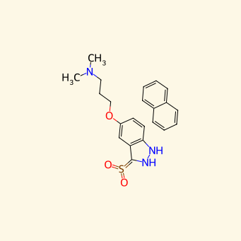 CN(C)CCCOc1ccc2[nH][nH]c(=S(=O)=O)c2c1.c1ccc2ccccc2c1